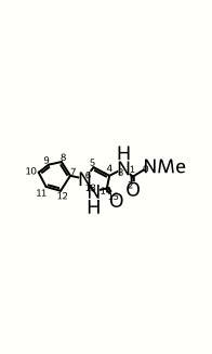 CNC(=O)Nc1cn(-c2ccccc2)[nH]c1=O